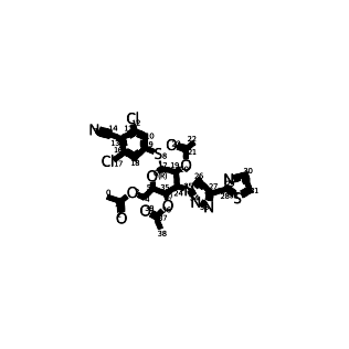 CC(=O)OCC1O[C@H](Sc2cc(Cl)c(C#N)c(Cl)c2)C(OC(C)=O)C(n2cc(-c3nccs3)nn2)[C@H]1OC(C)=O